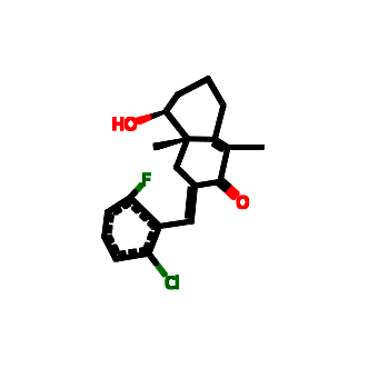 CC1=C2CCC[C@H](O)[C@@]2(C)C/C(=C\c2c(F)cccc2Cl)C1=O